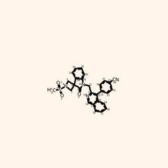 CS(=O)(=O)N1CC2(C1)C(=O)N(Cc1ncc3ccccc3c1-c1ccc(C#N)cc1)c1ccccc12